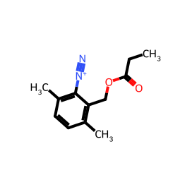 CCC(=O)OCc1c(C)ccc(C)c1[N+]#N